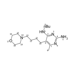 CCCCNc1nc(N)nc(C)c1CCCCN1CCOCC1